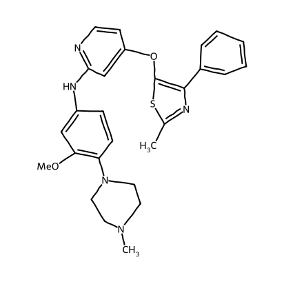 COc1cc(Nc2cc(Oc3sc(C)nc3-c3ccccc3)ccn2)ccc1N1CCN(C)CC1